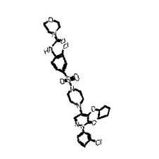 O=C(Nc1ccc(S(=O)(=O)N2CCN(c3cnn(-c4cccc(Cl)c4)c(=O)c3OC3CCCC3)CC2)cc1Cl)N1CCOCC1